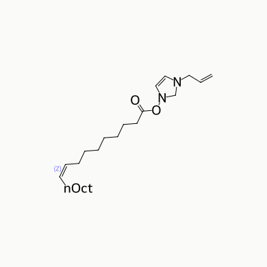 C=CCN1C=CN(OC(=O)CCCCCCC/C=C\CCCCCCCC)C1